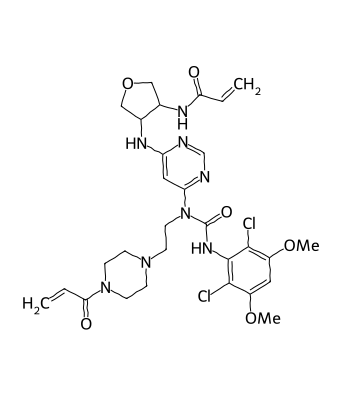 C=CC(=O)NC1COCC1Nc1cc(N(CCN2CCN(C(=O)C=C)CC2)C(=O)Nc2c(Cl)c(OC)cc(OC)c2Cl)ncn1